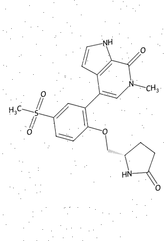 Cn1cc(-c2cc(S(C)(=O)=O)ccc2OC[C@@H]2CCC(=O)N2)c2cc[nH]c2c1=O